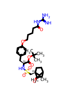 CC(C)(C)OC(=O)[C@H](Cc1ccc(OCCCCC(=O)NC(=N)N)cc1)NS(=O)(=O)C[C@]12CCC(CC1=O)C2(C)C